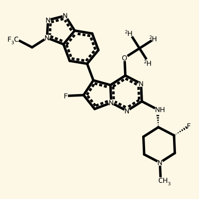 [2H]C([2H])([2H])Oc1nc(N[C@H]2CCN(C)C[C@H]2F)nn2cc(F)c(-c3ccc4nnn(CC(F)(F)F)c4c3)c12